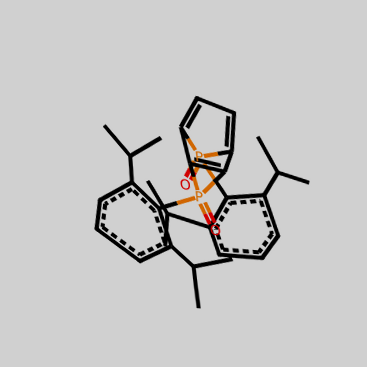 CC(C)c1cccc(C(C)C)c1P1(=O)C2=CC=C1C1=C2P1(=O)c1c(C(C)C)cccc1C(C)C